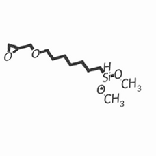 CO[SiH](CCCCCCCOCC1CO1)OC